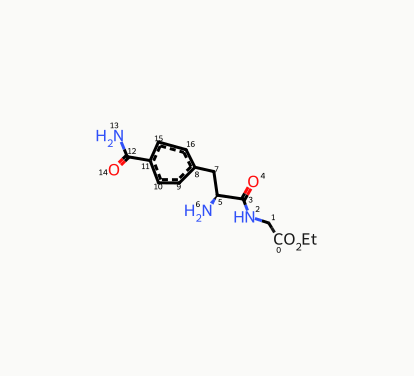 CCOC(=O)CNC(=O)[C@@H](N)Cc1ccc(C(N)=O)cc1